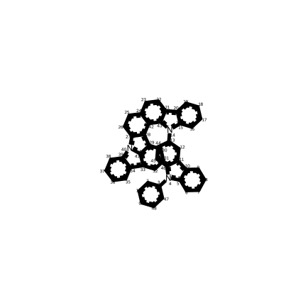 c1ccc(-n2c3ccccc3c3cc(-n4c5ccccc5c5ccc6ccc7c(c8cccc9c%10ccccc%10n7c98)c6c54)ccc32)cc1